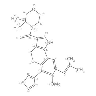 COc1c(C=C(C)C)cc2c(c1-c1ccsc1)OCc1c(C(=O)N3CCOCC3(C)C)n[nH]c1-2